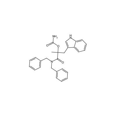 CC(Cc1c[nH]c2ccccc12)(OC(N)=O)C(=O)N(Cc1ccccc1)Cc1ccccc1